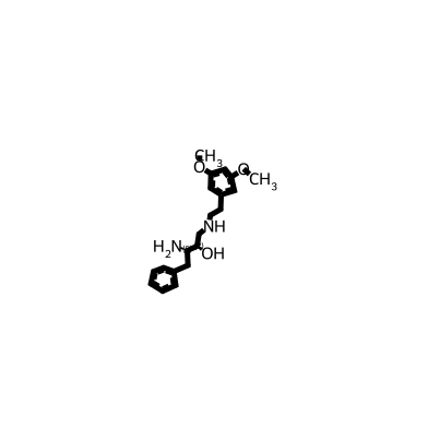 COc1cc(CCNC[C@@H](O)[C@@H](N)Cc2ccccc2)cc(OC)c1